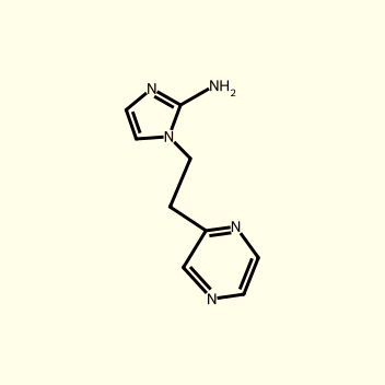 Nc1nccn1CCc1cnccn1